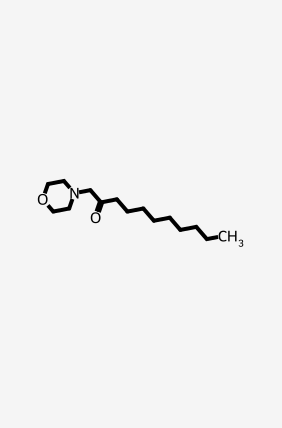 CCCCCCCCCC(=O)CN1CCOCC1